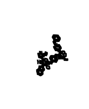 CCC(=O)N[C@H](Cc1ccc(CNC(=O)C(NC(=O)c2ccnn2CC)C2Cc3ccccc3C2)cc1)C(=O)N1CCN(Cc2ccccc2)CC1